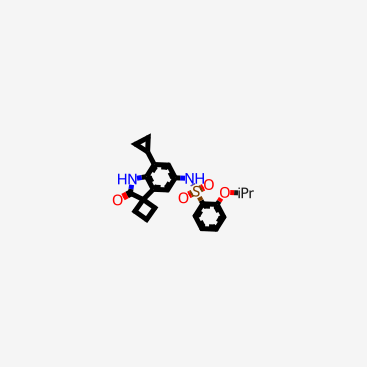 CC(C)Oc1ccccc1S(=O)(=O)Nc1cc(C2CC2)c2c(c1)C1(CCC1)C(=O)N2